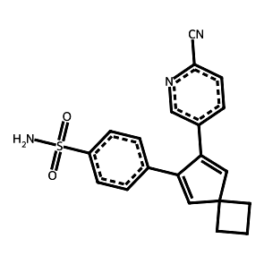 N#Cc1ccc(C2=CC3(C=C2c2ccc(S(N)(=O)=O)cc2)CCC3)cn1